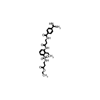 CCOC(=O)CCNS(=O)(=O)c1cccc(NC(=O)CCNC(=O)c2ccc(C(=N)N)cc2)c1CC